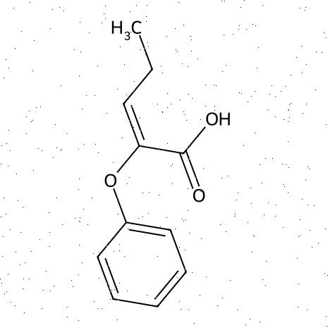 CC/C=C(/Oc1ccccc1)C(=O)O